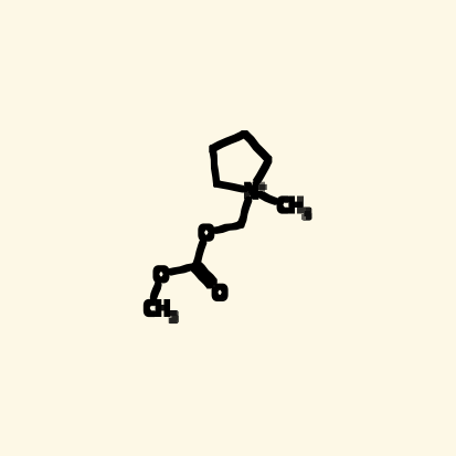 COC(=O)OC[N+]1(C)CCCC1